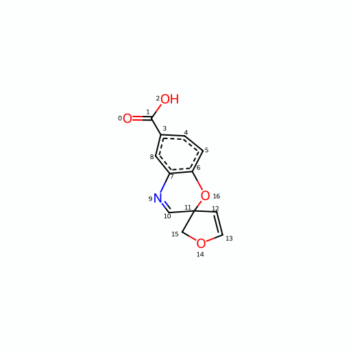 O=C(O)c1ccc2c(c1)N=CC1(C=COC1)O2